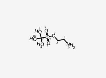 NCCOS(=O)(=O)C(O)(O)O